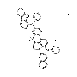 c1ccc(N(c2ccc3ccccc3c2)c2ccc3c4c(cccc24)C2(CC2)c2cc(N(c4ccccc4)c4cccc5c4oc4ccccc45)ccc2-3)cc1